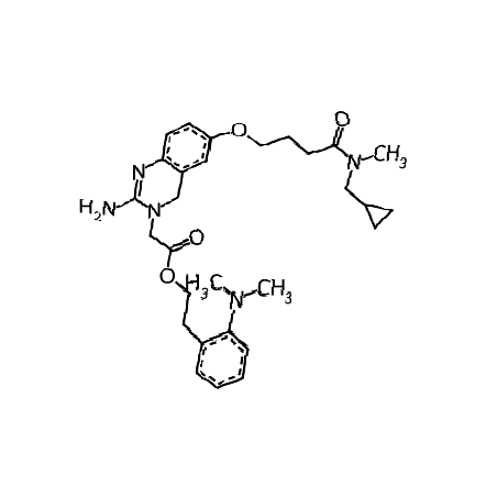 CN(CC1CC1)C(=O)CCCOc1ccc2c(c1)CN(CC(=O)OCCc1ccccc1N(C)C)C(N)=N2